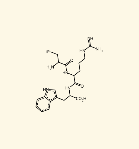 CC(C)CC(N)C(=O)NC(CCCNC(=N)N)C(=O)NC(Cc1c[nH]c2ccccc12)C(=O)O